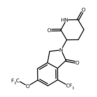 O=C1CCC(N2Cc3cc(OC(F)(F)F)cc(C(F)(F)F)c3C2=O)C(=O)N1